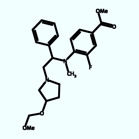 COCOC1CCN(CC(c2ccccc2)N(C)c2ccc(C(=O)OC)cc2F)C1